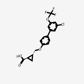 O=C(O)[C@@H]1C[C@H]1COc1ccc(-c2cc(Cl)cc(OC(F)(F)F)c2)cc1